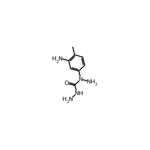 Cc1ccc(N(N)C(=O)NN)cc1N